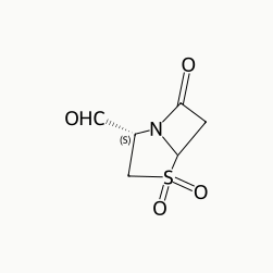 O=C[C@H]1CS(=O)(=O)C2CC(=O)N21